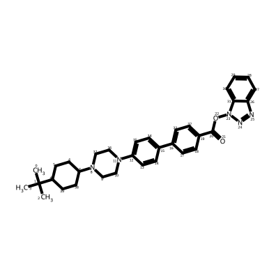 CC(C)(C)C1CCC(N2CCN(c3ccc(-c4ccc(C(=O)On5nnc6ccccc65)cc4)cc3)CC2)CC1